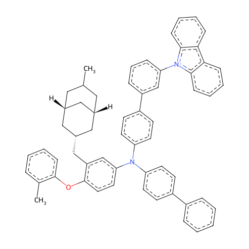 Cc1ccccc1Oc1ccc(N(c2ccc(-c3ccccc3)cc2)c2ccc(-c3cccc(-n4c5ccccc5c5ccccc54)c3)cc2)cc1C[C@H]1C[C@H]2CC(C)C[C@@H](C1)C2